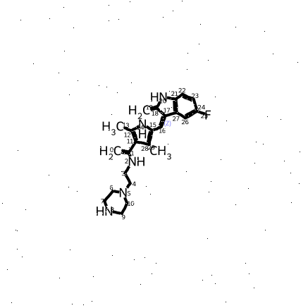 C=C(NCCN1CCNCC1)c1c(C)[nH]c(/C=c2\c(=C)[nH]c3ccc(F)cc23)c1C